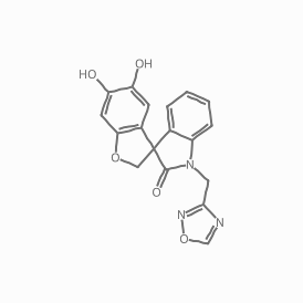 O=C1N(Cc2ncon2)c2ccccc2C12COc1cc(O)c(O)cc12